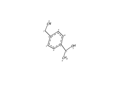 CC(O)c1ccc(CC#N)cc1